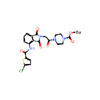 CC(C)(C)OC(=O)N1CCN(C(=O)CN2C(=O)c3cccc(NC(=O)c4ccc(Cl)s4)c3C2=O)CC1